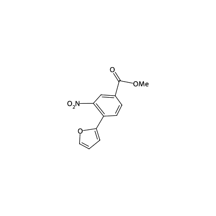 COC(=O)c1ccc(-c2ccco2)c([N+](=O)[O-])c1